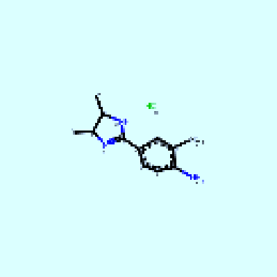 CC1N=C(c2ccc(N)c([N+](=O)[O-])c2)NC1C.Cl